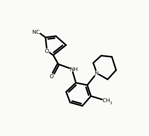 Cc1cccc(NC(=O)c2ccc(C#N)o2)c1N1CCCCC1